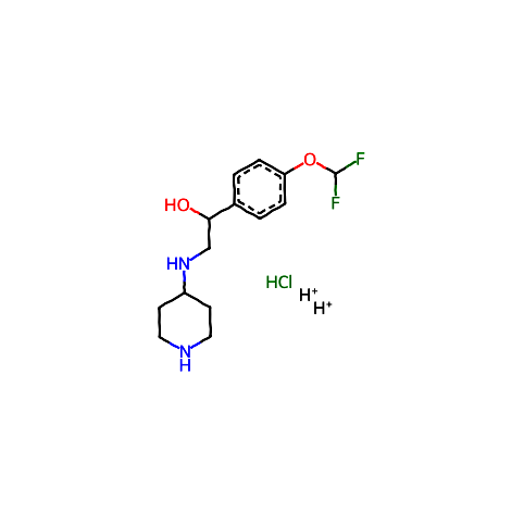 Cl.OC(CNC1CCNCC1)c1ccc(OC(F)F)cc1.[H+].[H+]